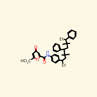 CCC(CC(C)(C)C(CC(C)(C)C(CC)c1ccccc1)c1ccccc1)c1ccc(NC(=O)c2cc(=O)cc(C(=O)O)o2)cc1